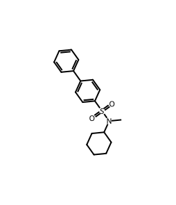 CN(C1CCCCC1)S(=O)(=O)c1ccc(-c2ccccc2)cc1